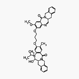 COc1cc2c(cc1OCCCOc1cc3c(cc1C)C(=O)N1Cc4ccccc4CC1C(O)N3C(C)C)N=CC1Cc3ccccc3CN1C2=O